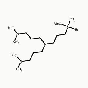 CC[Si](C)(CCCN(CCCN(C)C)CCCN(C)C)OC